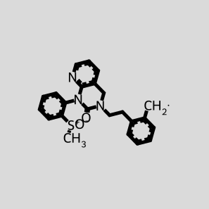 [CH2]c1ccccc1CCN1Cc2cccnc2N(c2ccccc2[S+](C)[O-])C1=O